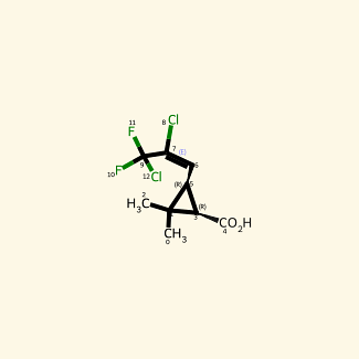 CC1(C)[C@H](C(=O)O)[C@@H]1/C=C(/Cl)C(F)(F)Cl